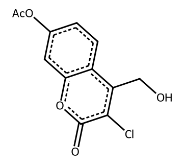 CC(=O)Oc1ccc2c(CO)c(Cl)c(=O)oc2c1